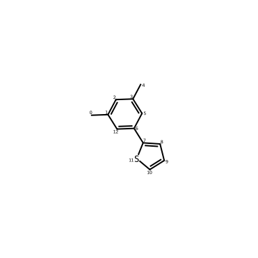 Cc1cc(C)cc(-c2cccs2)c1